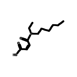 CCCCCCN(CC)C(=O)/C=C\C(=O)O